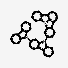 c1ccc2c(c1)c1ccccc1n2-c1ccc2c3ccccc3n(-c3ccc4c5cccc6c7ccccc7n(c4c3)c65)c2c1